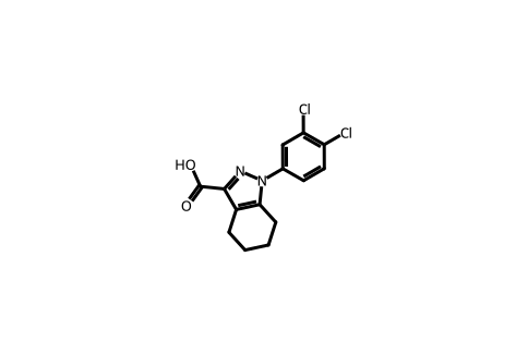 O=C(O)c1nn(-c2ccc(Cl)c(Cl)c2)c2c1CCCC2